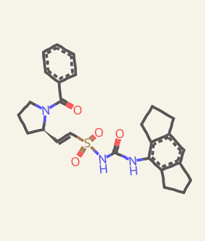 O=C(Nc1c2c(cc3c1CCC3)CCC2)NS(=O)(=O)/C=C/[C@H]1CCCN1C(=O)c1ccccc1